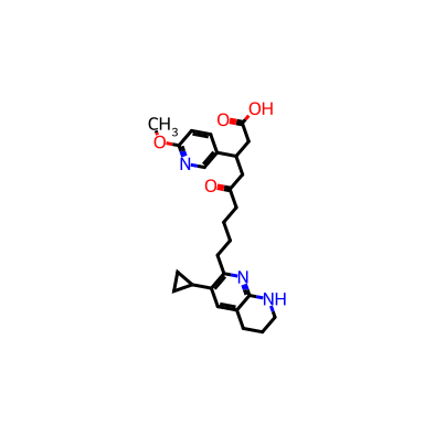 COc1ccc(C(CC(=O)O)CC(=O)CCCCc2nc3c(cc2C2CC2)CCCN3)cn1